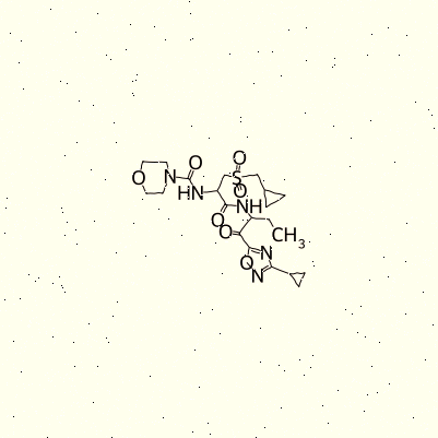 CCC(NC(=O)C(CS(=O)(=O)CC1CC1)NC(=O)N1CCOCC1)C(=O)c1nc(C2CC2)no1